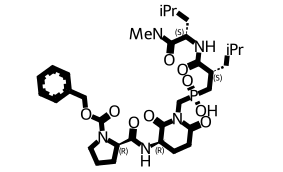 CNC(=O)[C@H](CC(C)C)NC(=O)[C@H](CC(C)C)CP(=O)(O)CN1C(=O)CC[C@@H](NC(=O)[C@H]2CCCN2C(=O)OCc2ccccc2)C1=O